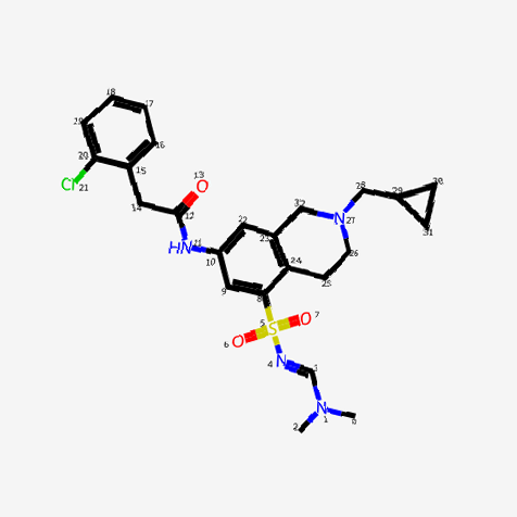 CN(C)/C=N/S(=O)(=O)c1cc(NC(=O)Cc2ccccc2Cl)cc2c1CCN(CC1CC1)C2